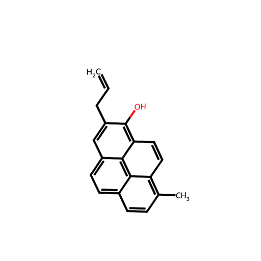 C=CCc1cc2ccc3ccc(C)c4ccc(c1O)c2c34